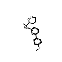 CSc1ccc(-c2cccc(NC(C)C3CCCOO3)n2)cc1